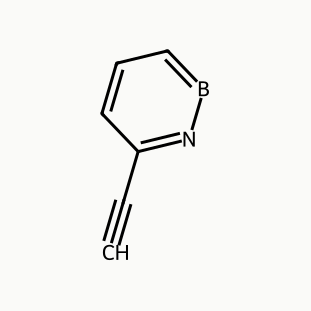 C#Cc1cccbn1